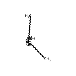 CCCCCCCCCCCCCCCCCC(=O)O[C@H]1[C@@H]([C@@H](CO)OC(=O)CCCCCCCCCCCCCCCCC)OC[C@@H]1O